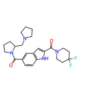 O=C(c1cc2cc(C(=O)N3CCCC3CN3CCCC3)ccc2[nH]1)N1CCC(F)(F)CC1